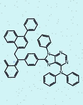 C=c1cccc/c1=C(/Cc1ccc(-c2ccccc2)c2ccccc12)c1ccc(-c2nc3c(N(c4ccccc4)c4ccccc4)ncnc3n2-c2ccccc2)cc1